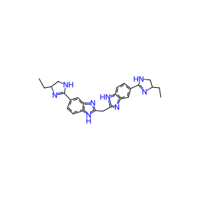 CCC1CNC(c2ccc3[nH]c(Cc4nc5cc(C6=NC(CC)CN6)ccc5[nH]4)nc3c2)=N1